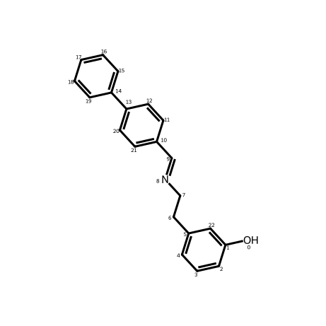 Oc1cccc(CCN=Cc2ccc(-c3ccccc3)cc2)c1